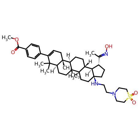 COC(=O)c1ccc(C2=CC[C@]3(C)[C@H]4CC[C@@H]5[C@H]6[C@H](/C(C)=N/O)CC[C@]6(NCCN6CCS(=O)(=O)CC6)CC[C@@]5(C)[C@]4(C)CC[C@H]3C2(C)C)cc1